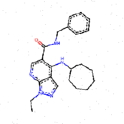 CCn1ncc2c(NC3CCCCCC3)c(C(=O)NCc3ccccc3)cnc21